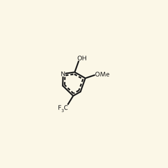 COc1cc(C(F)(F)F)cnc1O